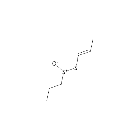 C/C=C/S[S+]([O-])CCC